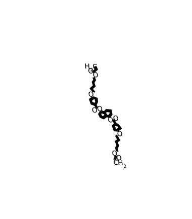 C=CC(=O)OCCCCCCOc1ccc(C(=O)Oc2cccc3c(OC(=O)c4ccc(OCCCCCCOC(=O)C=C)cc4)cccc23)cc1